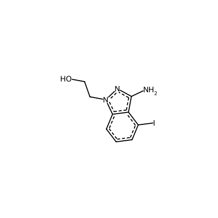 Nc1nn(CCO)c2cccc(I)c12